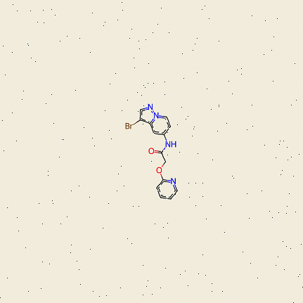 O=C(COc1ccccn1)Nc1ccn2ncc(Br)c2c1